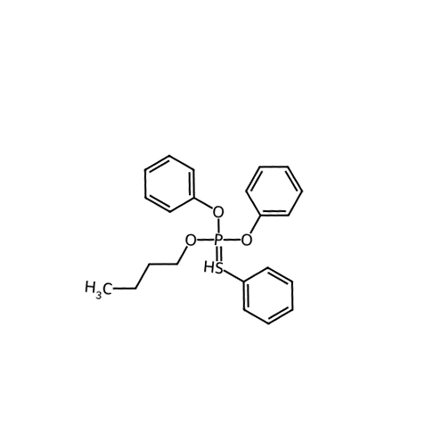 CCCCOP(Oc1ccccc1)(Oc1ccccc1)=[SH]c1ccccc1